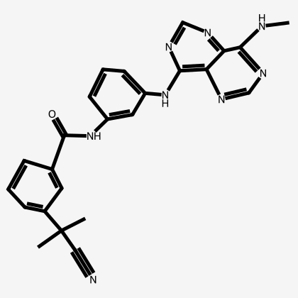 CNc1ncnc2c(Nc3cccc(NC(=O)c4cccc(C(C)(C)C#N)c4)c3)ncnc12